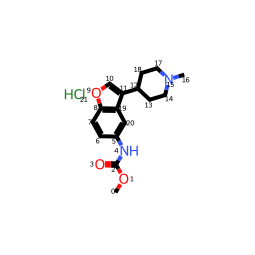 COC(=O)Nc1ccc2occ(C3CCN(C)CC3)c2c1.Cl